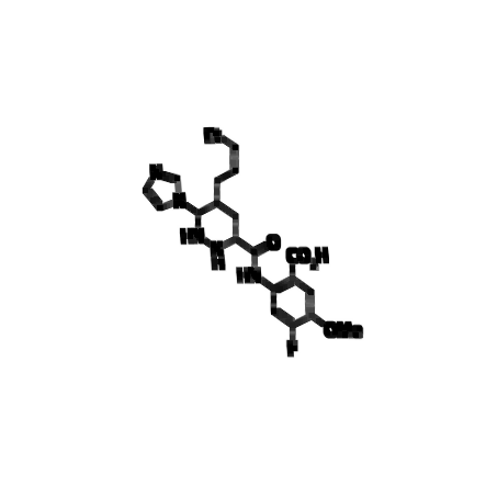 CC/C=C\CC1CC(C(=O)Nc2cc(F)c(OC)cc2C(=O)O)NNC1n1ccnc1